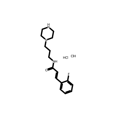 Cl.Cl.O=C(/C=C/c1ccccc1F)NCCCN1CCNCC1